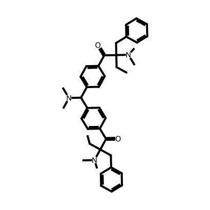 CCC(Cc1ccccc1)(C(=O)c1ccc(C(c2ccc(C(=O)C(CC)(Cc3ccccc3)N(C)C)cc2)N(C)C)cc1)N(C)C